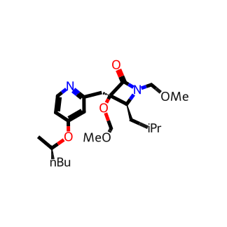 CCCC[C@@H](C)Oc1ccnc(C[C@]2(OCOC)C(=O)N(COC)[C@H]2CC(C)C)c1